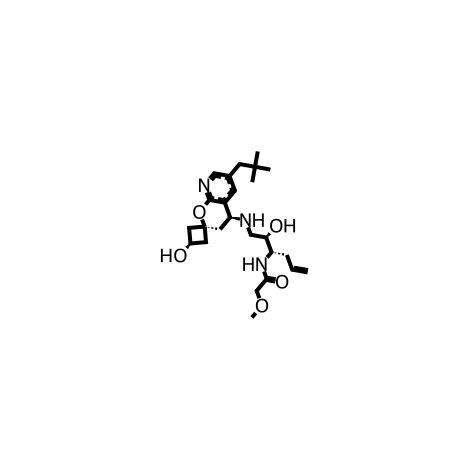 C=CC[C@H](NC(=O)COC)[C@H](O)CN[C@H]1C[C@]2(C[C@H](O)C2)Oc2ncc(CC(C)(C)C)cc21